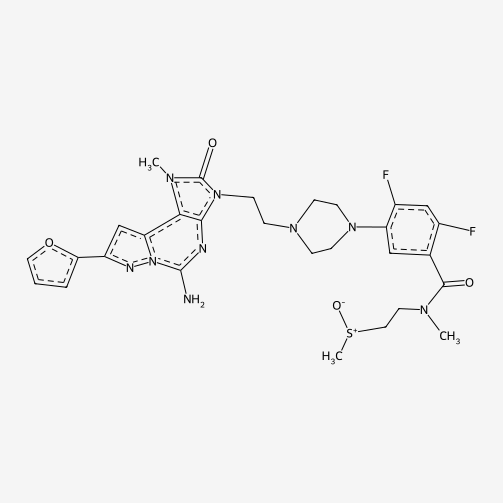 CN(CC[S+](C)[O-])C(=O)c1cc(N2CCN(CCn3c(=O)n(C)c4c3nc(N)n3nc(-c5ccco5)cc43)CC2)c(F)cc1F